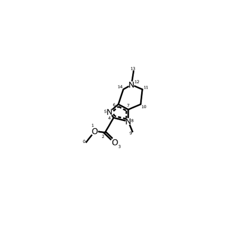 COC(=O)c1nc2c(n1C)CCN(C)C2